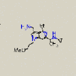 CCc1nc(C(C)NC2CC2)cc2c1c(CN)cn2CCCOC